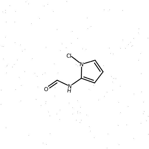 O=CNc1cccn1Cl